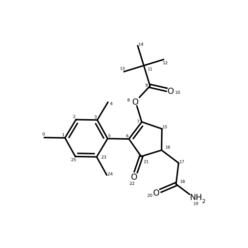 Cc1cc(C)c(C2=C(OC(=O)C(C)(C)C)CC(CC(N)=O)C2=O)c(C)c1